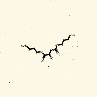 CCCCCCCCCCCCCOC(=O)CC(Cl)C(=O)OCCCCCCCCCCCCC